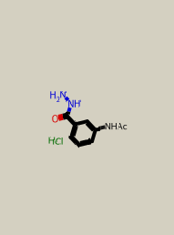 CC(=O)Nc1cccc(C(=O)NN)c1.Cl